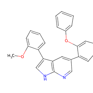 COc1ccccc1-c1c[nH]c2ncc(-c3ccccc3Oc3ccccc3)cc12